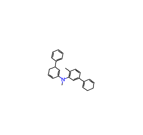 Cc1ccc(C2=CCCC=C2)cc1N(C)C1=CC(c2ccccc2)CC=C1